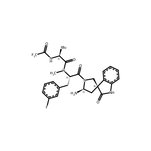 CN(C(=O)[C@@H](NC(=O)C(F)(F)F)C(C)(C)C)[C@@H](Cc1cccc(F)c1)C(=O)N1C[C@]2(C[C@H]1N)C(=O)Nc1ccccc12